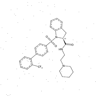 O=C(NCCN1CCCCC1)[C@@H]1Cc2ccccc2N1S(=O)(=O)c1ccc(-c2ccccc2C(F)(F)F)cc1